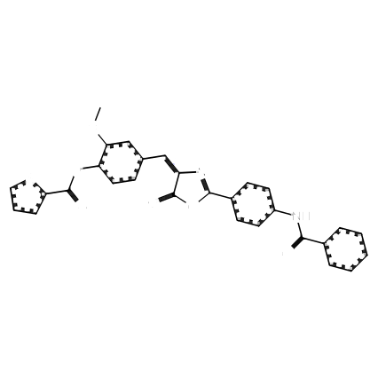 COc1cc(/C=C2/N=C(c3ccc(NC(=O)c4ccccc4)cc3)OC2=O)ccc1OC(=O)c1cccs1